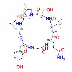 CC[C@H](C)[C@@H]1NC(=O)[C@@H](CCC(N)=O)NC(=O)CNC(=O)[C@H](Cc2ccc(O)cc2)/N=C/[C@H](CC(C)C)NC(=O)[C@@H]2C[C@H](C)CN2C(=O)[C@H](CO)NC1=O